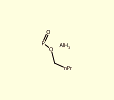 CCCCOP=O.[AlH3]